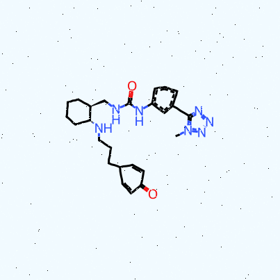 Cn1nnnc1-c1cccc(NC(=O)NC[C@@H]2CCCC[C@H]2NCCCC2C=CC(=O)C=C2)c1